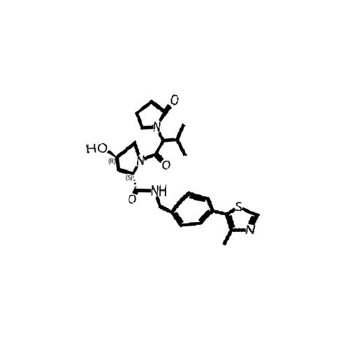 Cc1ncsc1-c1ccc(CNC(=O)[C@@H]2C[C@@H](O)CN2C(=O)C(C(C)C)N2CCCC2=O)cc1